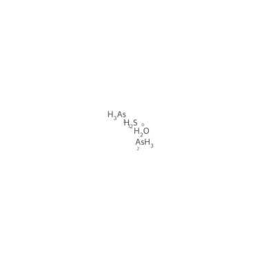 O.S.[AsH3].[AsH3]